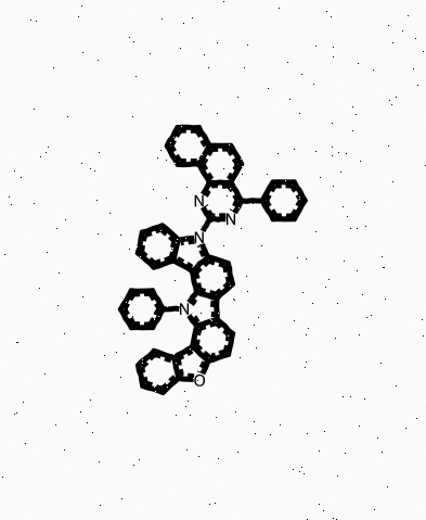 c1ccc(-c2nc(-n3c4ccccc4c4c3ccc3c5ccc6oc7ccccc7c6c5n(-c5ccccc5)c34)nc3c2ccc2ccccc23)cc1